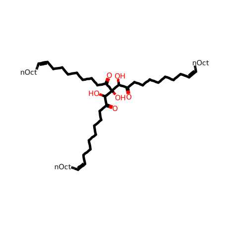 CCCCCCCC/C=C\CCCCCCCC(=O)C(O)C(O)(C(=O)CCCCCCC/C=C\CCCCCCCC)C(O)C(=O)CCCCCCC/C=C\CCCCCCCC